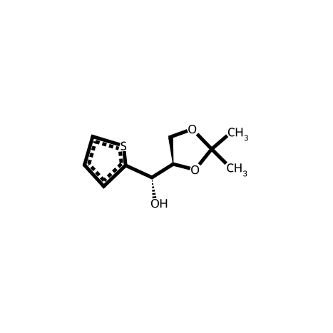 CC1(C)OC[C@H]([C@H](O)c2cccs2)O1